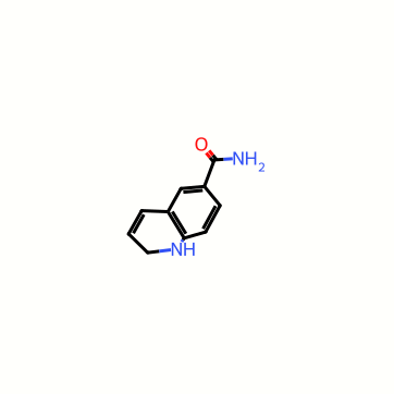 NC(=O)c1ccc2c(c1)C=CCN2